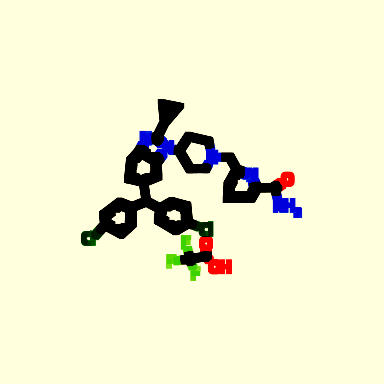 NC(=O)c1cccc(CN2CCC(n3c(C4CC4)nc4ccc(C(c5ccc(Cl)cc5)c5ccc(Cl)cc5)cc43)CC2)n1.O=C(O)C(F)(F)F